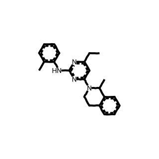 CCc1cc(N2CCc3ccccc3C2C)nc(Nc2ccccc2C)n1